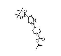 C=C(C)OC(=O)N1CCC(n2cc(B3OC(C)(C)C(C)(C)O3)cn2)CC1